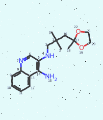 CC(C)(CNc1cnc2ccccc2c1N)CC1(C)OCCO1